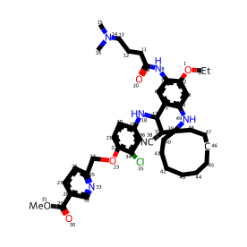 CCOc1cc2c(cc1NC(=O)CCCN(C)C)C(Nc1ccc(OCc3ccc(C(=O)OC)cn3)c(Cl)c1)C(C#N)C1(CCCCCCCCC1)N2